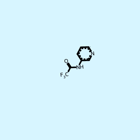 O=C(Nc1cc[c]nc1)C(F)(F)F